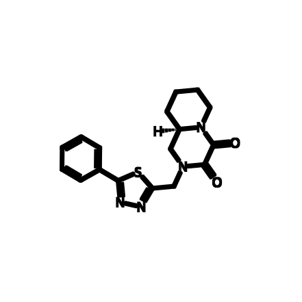 O=C1C(=O)N2CCCC[C@@H]2CN1Cc1nnc(-c2ccccc2)s1